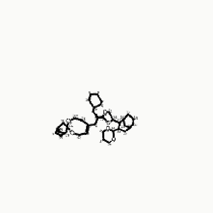 C1=C(/CC(CC2CCCCC2)C2OCC(C3C4CCCC(C4)CC3C3OCCCO3)O2)CCOC2(CC3CCC2C3)OC/1